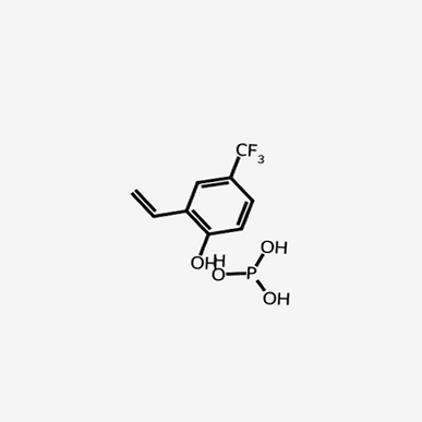 C=Cc1cc(C(F)(F)F)ccc1O.OP(O)O